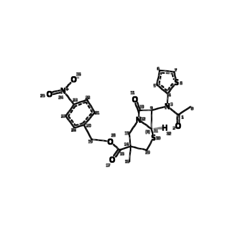 CC(=O)N(c1cccs1)C1C(=O)N2CC(C)(C(=O)OCc3ccc([N+](=O)[O-])cc3)CS[C@H]12